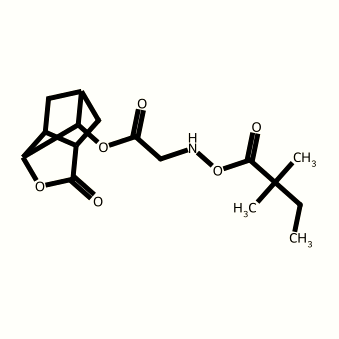 CCC(C)(C)C(=O)ONCC(=O)OC1C2CC3C(=O)OC1C3C2